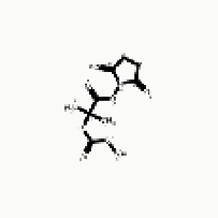 CCCCSC(=S)SC(C)(C)C(=O)ON1C(=O)CCC1=O